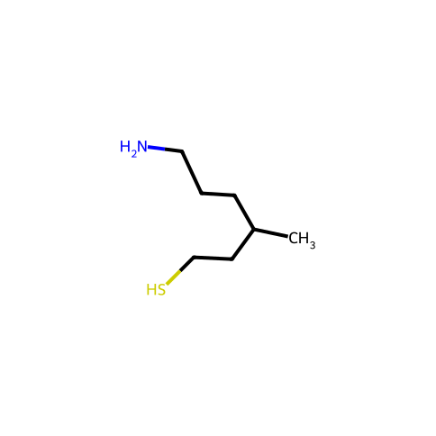 CC(CCS)CCCN